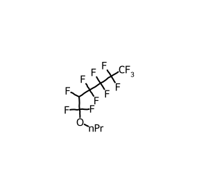 CCCOC(F)(F)C(F)C(F)(F)C(F)(F)C(F)(F)C(F)(F)F